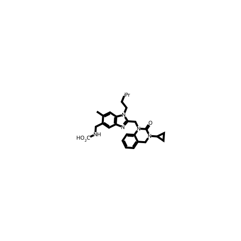 Cc1cc2c(cc1CNC(=O)O)nc(CN1C(=O)N(C3CC3)Cc3ccccc31)n2CCC(C)C